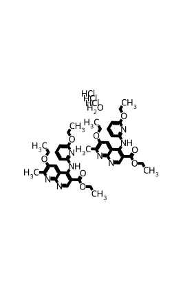 CCOC(=O)c1cnc2nc(C)c(OCC)cc2c1Nc1cccc(OCC)n1.CCOC(=O)c1cnc2nc(C)c(OCC)cc2c1Nc1cccc(OCC)n1.Cl.Cl.Cl.O